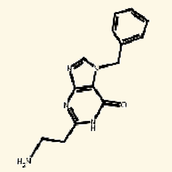 NCCc1nc2ncn(Cc3ccccc3)c2c(=O)[nH]1